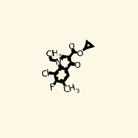 CCn1cc(C(=O)OC2CC2)c(=O)c2cc(C)c(F)c(Cl)c21